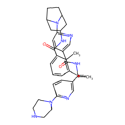 COc1cccc(C(=O)NC2CC3CCC(C2)N3c2ccc(C(=O)NC(C)c3ccc(N4CCNCC4)nc3)cn2)c1C